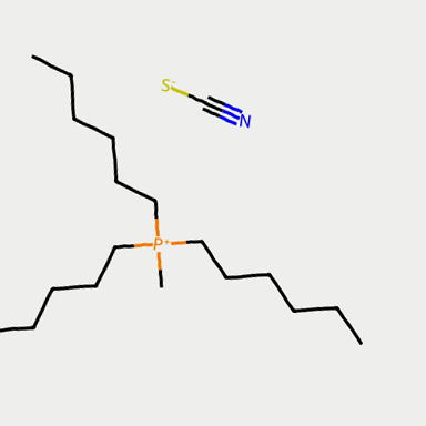 CCCCCC[P+](C)(CCCCCC)CCCCCC.N#C[S-]